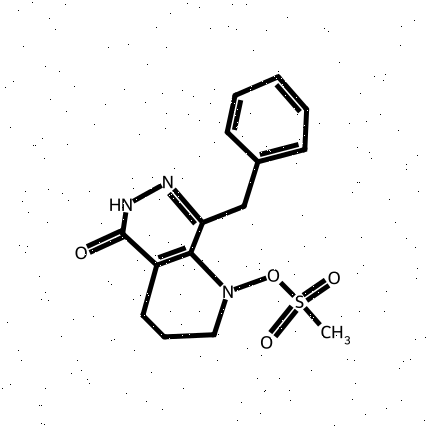 CS(=O)(=O)ON1CCCc2c1c(Cc1ccccc1)n[nH]c2=O